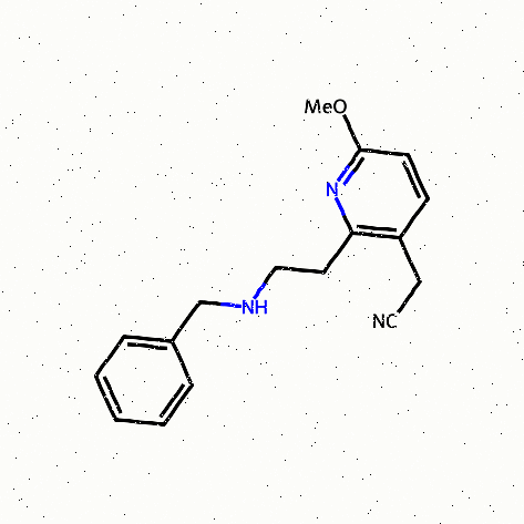 COc1ccc(CC#N)c(CCNCc2ccccc2)n1